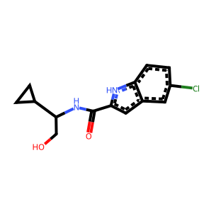 O=C(NC(CO)C1CC1)c1cc2cc(Cl)ccc2[nH]1